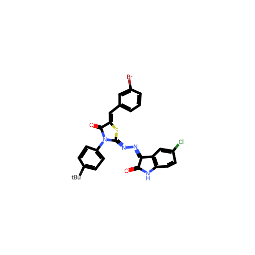 CC(C)(C)c1ccc(N2C(=O)C(=Cc3cccc(Br)c3)SC2=NN=C2C(=O)Nc3ccc(Cl)cc32)cc1